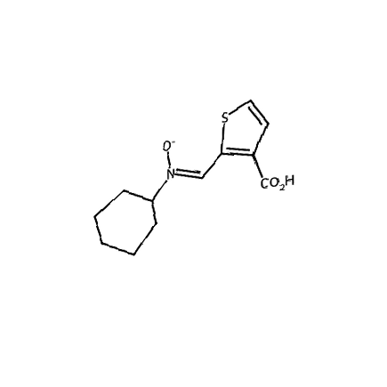 O=C(O)c1ccsc1C=[N+]([O-])C1CCCCC1